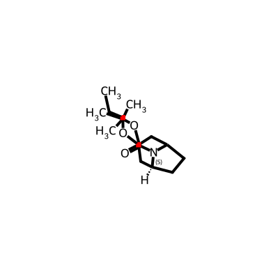 CCCOC1CC2CC[C@@H](C1)N2C(=O)OC(C)(C)C